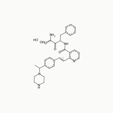 CC(c1ccc(/C=C/c2ncccc2C(=O)NC(Cc2ccccc2)C(=O)C(N)=O)cc1)N1CCNCC1.Cl.Cl